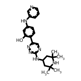 CC1(C)CC(Nc2ncc(-c3ccc(Nc4cccnc4)cc3O)nn2)CC(C)(C)N1